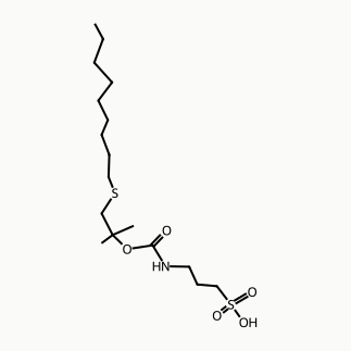 CCCCCCCCCSCC(C)(C)OC(=O)NCCCS(=O)(=O)O